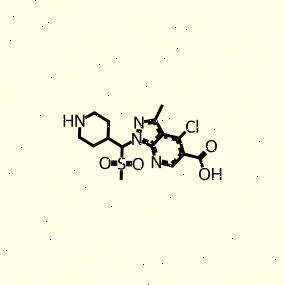 Cc1nn(C(C2CCNCC2)S(C)(=O)=O)c2ncc(C(=O)O)c(Cl)c12